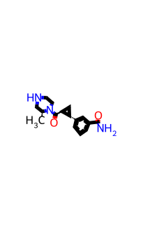 C[C@@H]1CNCCN1C(=O)[C@H]1C[C@@H]1c1cccc(C(N)=O)c1